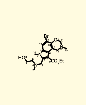 CCOC(=O)c1c(CN(C)CCO)n(C)c2cc(Br)c3c(c12)CN(C)CO3